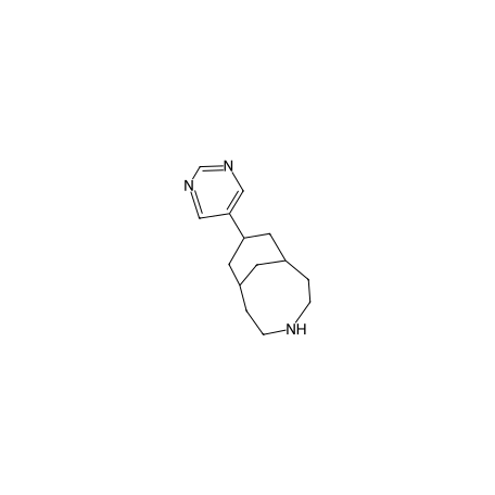 c1ncc(C2CC3CCNCCC(C3)C2)cn1